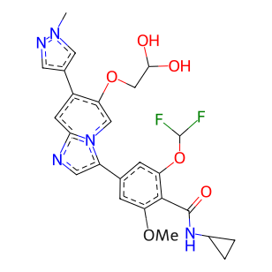 COc1cc(-c2cnc3cc(-c4cnn(C)c4)c(OCC(O)O)cn23)cc(OC(F)F)c1C(=O)NC1CC1